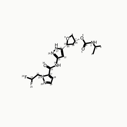 CC(C)NC(=O)O[C@H]1CO[C@@H](c2cc(NC(=O)c3ccnn3CC(F)F)n[nH]2)C1